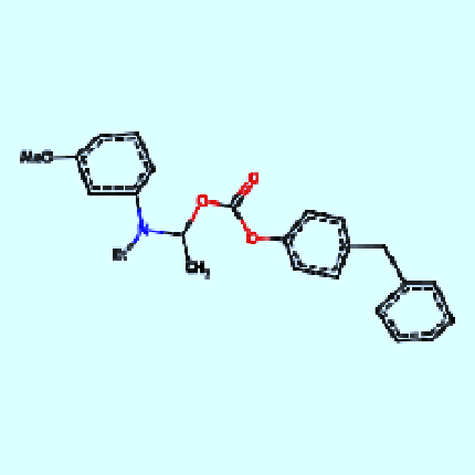 CCN(c1cccc(OC)c1)C(C)OC(=O)Oc1ccc(Cc2ccccc2)cc1